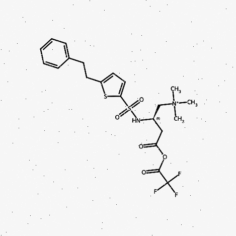 C[N+](C)(C)C[C@@H](CC(=O)OC(=O)C(F)(F)F)NS(=O)(=O)c1ccc(CCc2ccccc2)s1